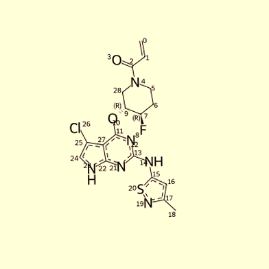 C=CC(=O)N1CC[C@@H](F)[C@H](Oc2nc(Nc3cc(C)ns3)nc3[nH]cc(Cl)c23)C1